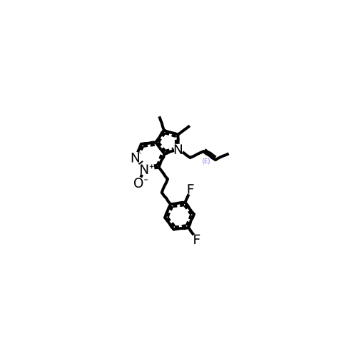 C/C=C/Cn1c(C)c(C)c2cn[n+]([O-])c(CCc3ccc(F)cc3F)c21